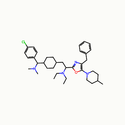 CCN(CC)C(CC1CCC(C(c2ccc(Cl)cc2)N(C)C)CC1)c1nc(Cc2ccccc2)c(N2CCC(C)CC2)o1